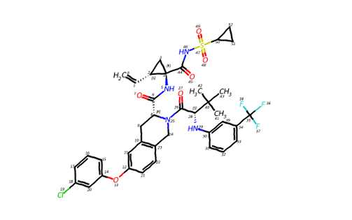 C=C[C@@H]1C[C@]1(NC(=O)[C@H]1Cc2cc(Oc3cccc(Cl)c3)ccc2CN1C(=O)[C@@H](Nc1cccc(C(F)(F)F)c1)C(C)(C)C)C(=O)NS(=O)(=O)C1CC1